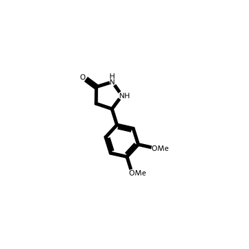 COc1ccc(C2CC(=O)NN2)cc1OC